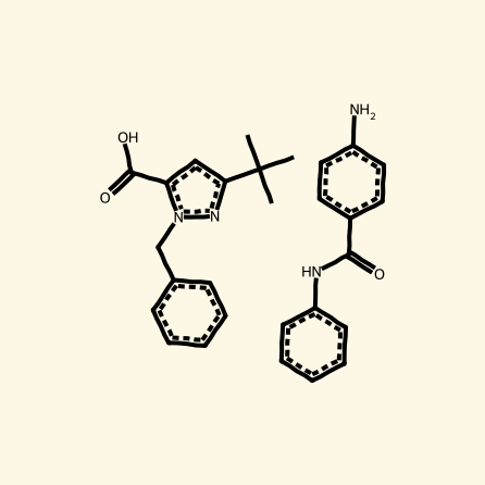 CC(C)(C)c1cc(C(=O)O)n(Cc2ccccc2)n1.Nc1ccc(C(=O)Nc2ccccc2)cc1